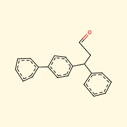 O=CCC(c1ccccc1)c1ccc(-c2ccccc2)cc1